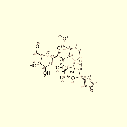 COC(=O)C1=CCC[C@H]2[C@]3(C)C[C@@H](c4ccoc4)OC(=O)[C@@H]3C[C@@H](O[C@@H]3O[C@H](CO)[C@@H](O)[C@H](O)[C@H]3O)[C@@]12C